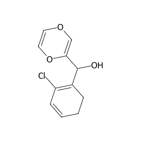 OC(C1=COC=CO1)C1=C(Cl)C=CCC1